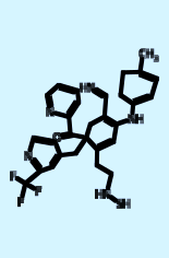 CC1=CC=C(NC2=C(C=N)CC(Cc3ccnc(C(F)(F)F)c3)(C(=O)c3ccccn3)C(CCNS)=C2)CC1